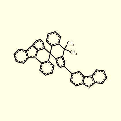 CC1(C)c2ccccc2C2(c3ccccc3-n3c4ccccc4c4cccc2c43)c2ccc(-c3ccc4sc5ccccc5c4c3)cc21